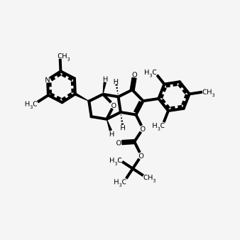 Cc1cc(C)c(C2=C(OC(=O)OC(C)(C)C)[C@@H]3[C@H](C2=O)[C@@H]2O[C@H]3C[C@H]2c2cc(C)nc(C)c2)c(C)c1